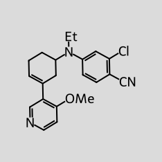 CCN(c1ccc(C#N)c(Cl)c1)C1CCC=C(c2cnccc2OC)C1